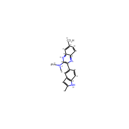 Cc1cc2cc(-c3nc4ccc(C(=O)O)cc4nc3N(C)C(C)C)ccc2[nH]1